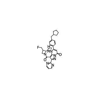 CC1C(CF)CN1C(=O)c1c(-c2ncccn2)nn2c(=O)cc(-c3ccc(CC4CCCC4)cc3)[nH]c12